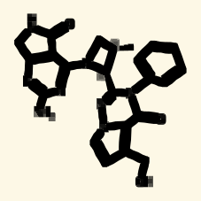 C[C@H]1CN(c2nc(N)nc3c2C(=O)NC3)[C@@H]1c1nn2ccc(CO)c2c(=O)n1-c1ccccc1